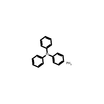 P.c1cc[c]([Pt]([c]2ccccc2)[c]2ccccc2)cc1